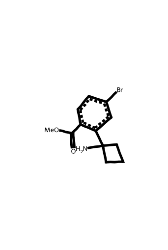 COC(=O)c1ccc(Br)cc1C1(N)CCC1